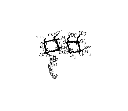 CCC1=C(C)c2cc3[nH]c(cc4nc(cc5[nH]c(cc1n2)c(C)c5CCC(=O)[O-])C(CCC(=O)[O-])=C4C)c(C)c3CC.CCC1=C(C)c2cc3[nH]c(cc4nc(cc5[nH]c(cc1n2)c(C)c5CCC(=O)[O-])C(CCC(=O)[O-])=C4C)c(C)c3CC.C[NH-].C[NH-].[Cl-].[Cl-].[Cl-].[Cl-].[Cl-].[Cl-].[Sn+4].[Sn+4].[Sn+4]